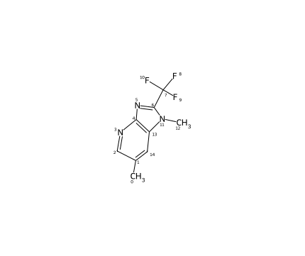 Cc1cnc2nc(C(F)(F)F)n(C)c2c1